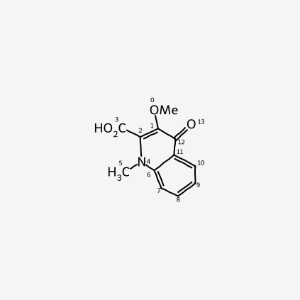 COc1c(C(=O)O)n(C)c2ccccc2c1=O